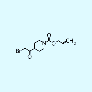 C=CCOC(=O)N1CCC(C(=O)CBr)CC1